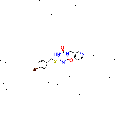 O=c1nc(SCc2ccc(Br)cc2)[nH]c(=O)n1Cc1cccnc1